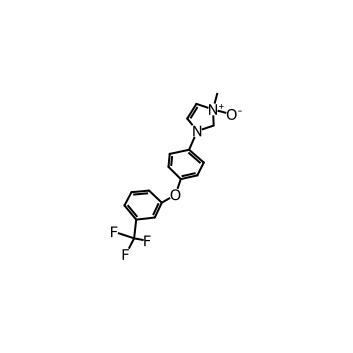 C[N+]1([O-])C=CN(c2ccc(Oc3cccc(C(F)(F)F)c3)cc2)C1